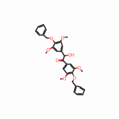 COc1cc(C(=O)C(O)c2cc(OC)c(OCc3ccccc3)c(OC)c2)cc(OC)c1OCc1ccccc1